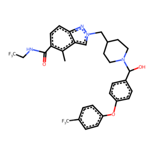 Cc1c(C(=O)NCC(F)(F)F)ccc2nn(CC3CCN(C(O)c4ccc(Oc5ccc(C(F)(F)F)cc5)cc4)CC3)cc12